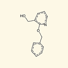 OCc1cccnc1OCc1ccccc1